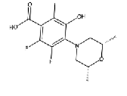 Cc1c(O)c(N2C[C@@H](C)O[C@@H](C)C2)c(F)c(F)c1C(=O)O